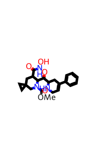 COC(=O)N1CC2(CC2)CC(C(=O)NO)C1C(=O)C1CC(c2ccccc2)=CCN1